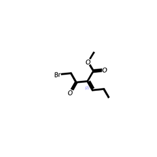 CC/C=C(/C(=O)CBr)C(=O)OC